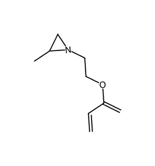 C=CC(=C)OCCN1CC1C